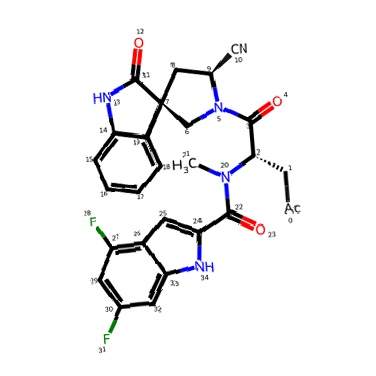 CC(=O)C[C@@H](C(=O)N1C[C@]2(C[C@H]1C#N)C(=O)Nc1ccccc12)N(C)C(=O)c1cc2c(F)cc(F)cc2[nH]1